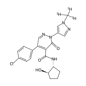 [2H]C([2H])([2H])n1cc(-n2ncc(-c3ccc(Cl)cc3)c(C(=O)N[C@@H]3CCC[C@H]3O)c2=O)cn1